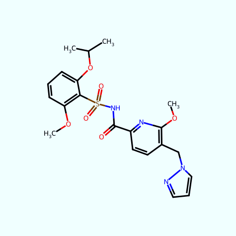 COc1cccc(OC(C)C)c1S(=O)(=O)NC(=O)c1ccc(Cn2cccn2)c(OC)n1